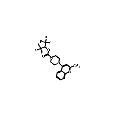 Cc1cc(N2CCN(C(=O)OC(C(F)(F)F)C(F)(F)F)CC2)c2ccccc2n1